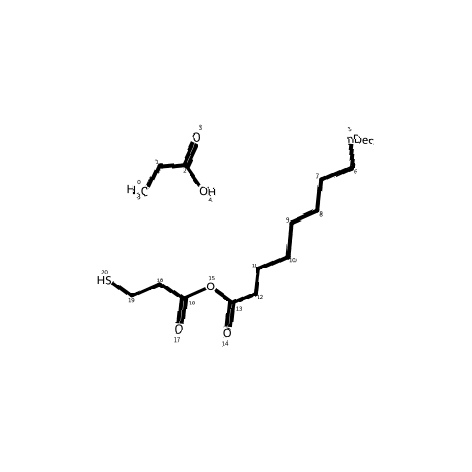 CCC(=O)O.CCCCCCCCCCCCCCCCCC(=O)OC(=O)CCS